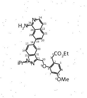 CCOC(=O)Cc1ccc(OC)cc1OCc1nn(C(C)C)c2ccc(-c3ccc4ccnc(N)c4c3)cc12